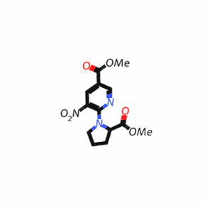 COC(=O)c1cnc(N2CCCC2C(=O)OC)c([N+](=O)[O-])c1